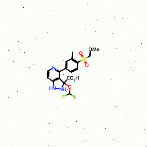 COCS(=O)(=O)c1ccc(-c2nccc3c2C(OC(F)F)(C(=O)O)NN3)cc1C